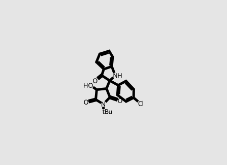 CC(C)(C)N1C(=O)C(O)C(C2(c3ccc(Cl)cc3)Nc3ccccc3C2=O)C1=O